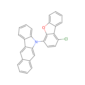 Clc1ccc(-n2c3ccccc3c3cc4ccccc4cc32)c2oc3ccccc3c12